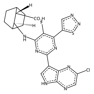 O=C(O)[C@H]1C2CCC(CC2)[C@@H]1Nc1nc(-c2c[nH]c3ncc(Cl)nc23)nc(-c2cnns2)c1F